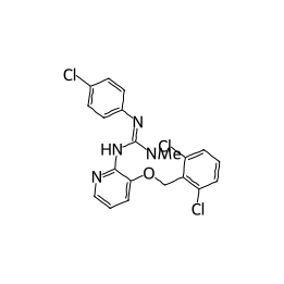 CNC(=Nc1ccc(Cl)cc1)Nc1ncccc1OCc1c(Cl)cccc1Cl